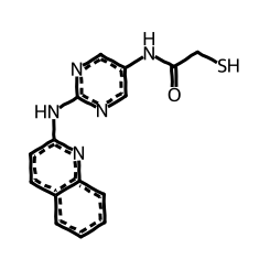 O=C(CS)Nc1cnc(Nc2ccc3ccccc3n2)nc1